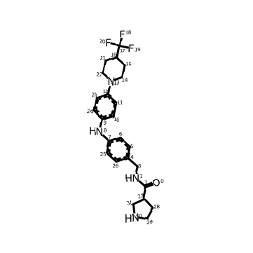 O=C(NCc1ccc(Nc2ccc(N3CCC(C(F)(F)F)CC3)cc2)cc1)C1CCNC1